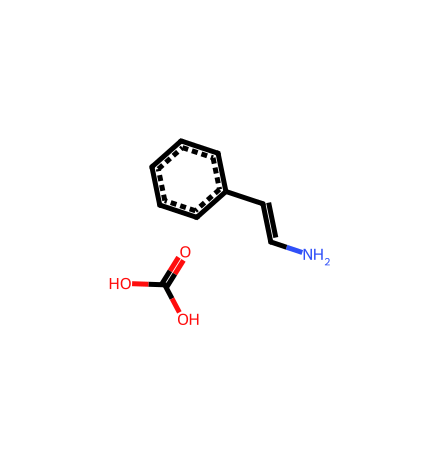 NC=Cc1ccccc1.O=C(O)O